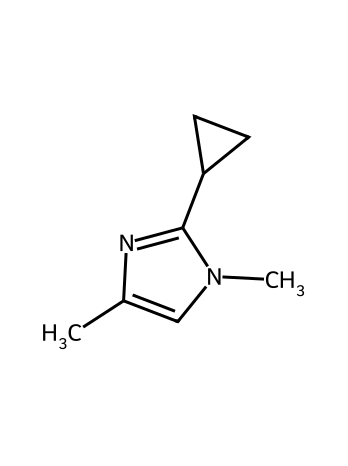 Cc1cn(C)c(C2CC2)n1